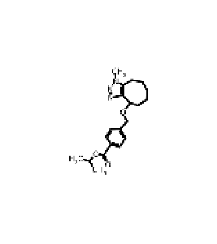 CC(C)OC(=O)c1ccc(COC2CCCCCc3c2nnn3C)cc1